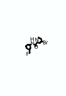 O=C(Nc1cccc(CF)c1)c1cc(Br)ccn1